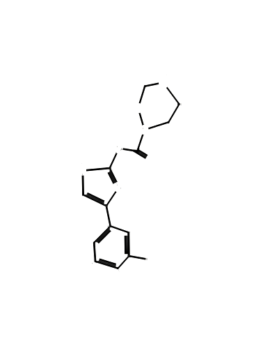 O=C(Nc1nc(-c2cccc(Br)c2)cs1)N1CCOCS1